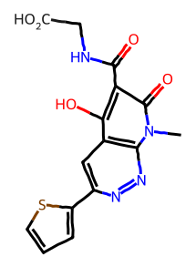 Cn1c(=O)c(C(=O)NCC(=O)O)c(O)c2cc(-c3cccs3)nnc21